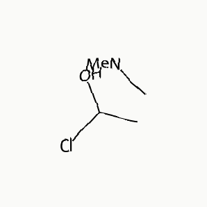 CC(O)Cl.CNC